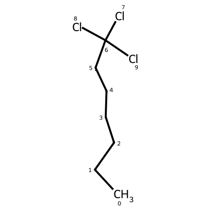 CCCCC[CH]C(Cl)(Cl)Cl